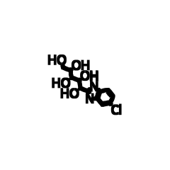 OCC(O)[C@@H](O)C(O)[C@@H](O)c1nc2cc(Cl)ccc2[nH]1